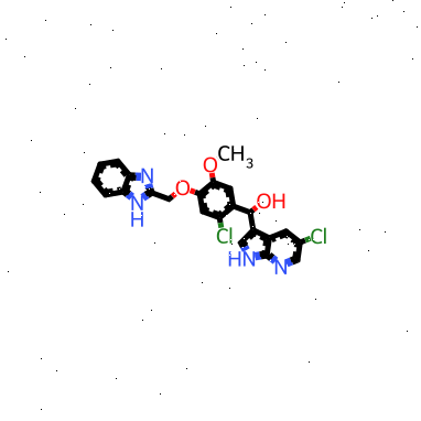 COc1cc(C(O)c2c[nH]c3ncc(Cl)cc23)c(Cl)cc1OCc1nc2ccccc2[nH]1